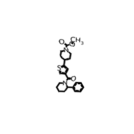 COC(=O)N1CCC(c2cc(C(=O)N3CCCCC3c3ccccc3)cs2)CC1